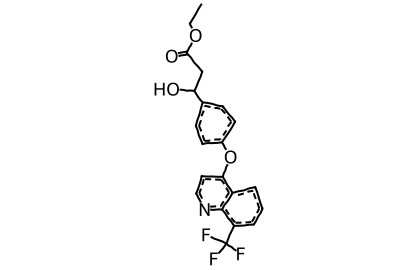 CCOC(=O)CC(O)c1ccc(Oc2ccnc3c(C(F)(F)F)cccc23)cc1